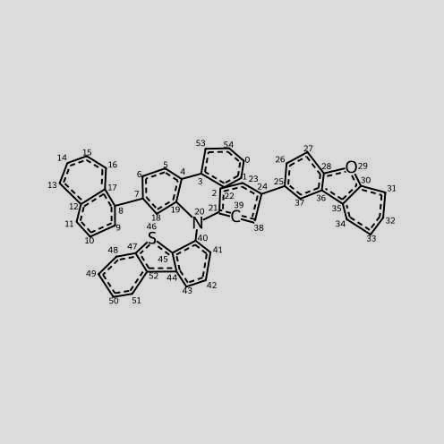 c1ccc(-c2ccc(-c3cccc4ccccc34)cc2N(c2ccc(-c3ccc4oc5ccccc5c4c3)cc2)c2cccc3c2sc2ccccc23)cc1